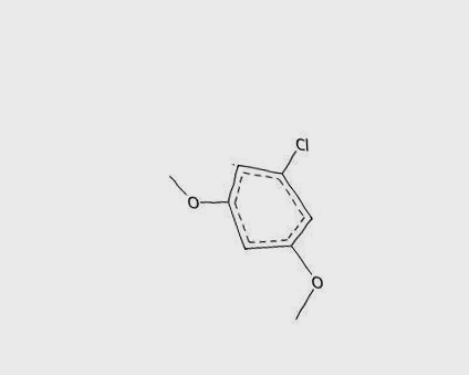 COc1[c]c(Cl)cc(OC)c1